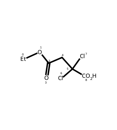 CCOC(=O)CC(Cl)(Cl)C(=O)O